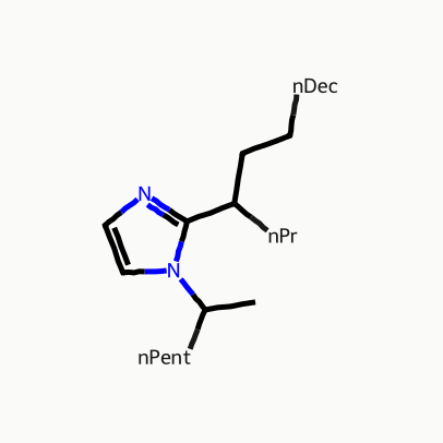 CCCCCCCCCCCCC(CCC)c1nccn1C(C)CCCCC